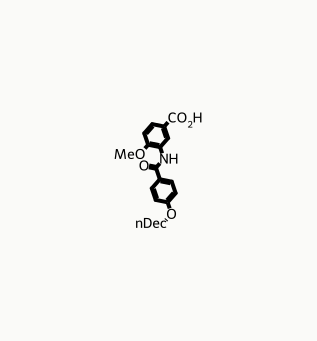 CCCCCCCCCCOc1ccc(C(=O)Nc2cc(C(=O)O)ccc2OC)cc1